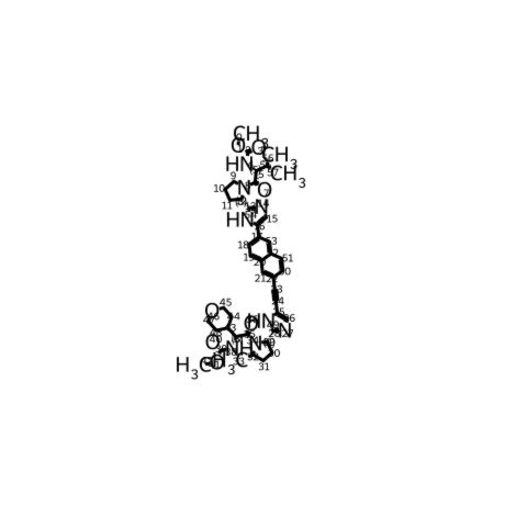 COC(=O)N[C@H](C(=O)N1CCC[C@H]1c1ncc(-c2ccc3cc(C#Cc4cnc([C@@H]5CCC(C)N5C(=O)[C@@H](NC(=O)OC)C5CCOCC5)[nH]4)ccc3c2)[nH]1)C(C)C